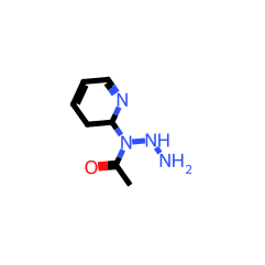 CC(=O)N(NN)C1CC=CC=N1